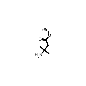 CC(C)(N)CC(=O)OC(C)(C)C